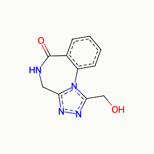 O=C1NCc2nnc(CO)n2-c2ccccc21